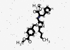 CCCCc1ncc(/C=C(\Cc2cccs2)C(=O)OC)n1Cc1ccc(C(=O)OC)cc1